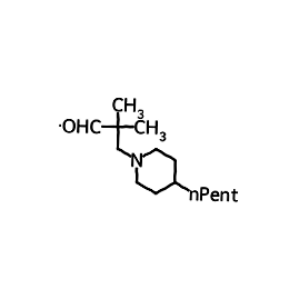 CCCCCC1CCN(CC(C)(C)[C]=O)CC1